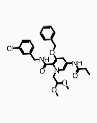 CCC(=O)NC1=CN(CC(OC)OC)C(C(=O)NCc2cccc(Cl)c2)=C(OCc2ccccc2)C1